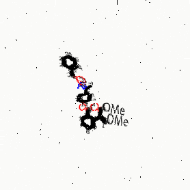 COC=C(C(=O)OC)c1ccccc1COc1ccc(C(C)=NOCc2ccccc2)cc1